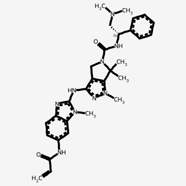 C=CC(=O)Nc1ccc2nc(Nc3nn(C)c4c3CN(C(=O)N[C@H](CN(C)C)c3ccccc3)C4(C)C)n(C)c2c1